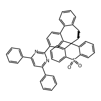 O=S1(=O)c2ccccc2C2(c3ccccc3-c3ccccc3-c3ccc(-c4nc(-c5ccccc5)cc(-c5ccccc5)n4)cc32)c2ccccc21